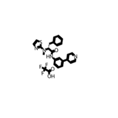 CN(c1nccs1)[C@H](Cc1ccccc1)C(=O)Nc1cccc(-c2ccncc2)c1.O=C(O)C(F)(F)F